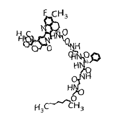 CCCCCCC(C)OCC(=O)NCC(=O)NCC(=O)N[C@@H](Cc1ccccc1)C(=O)NCC(=O)NCOCC(=O)N[C@H]1CCc2c(C)c(F)cc3nc4c(c1c23)Cn1c-4cc2c(c1=O)COC(=O)[C@]2(O)CC